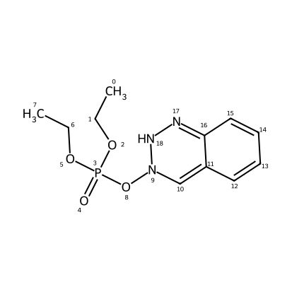 CCOP(=O)(OCC)ON1C=c2ccccc2=NN1